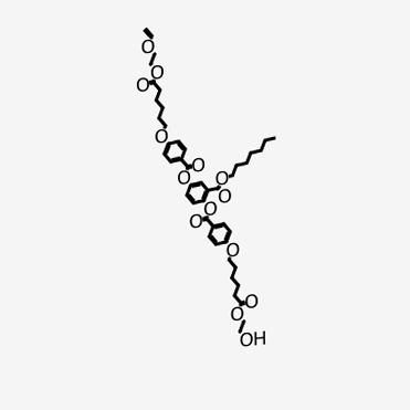 C=COCCOC(=O)CCCCCOc1ccc(C(=O)Oc2ccc(OC(=O)c3ccc(OCCCCCC(=O)OCCO)cc3)c(C(=O)OCCCCCCC)c2)cc1